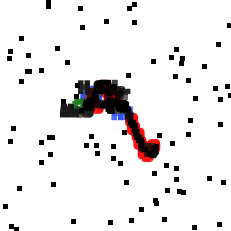 COc1ccc(C[C@H]2NC(=O)/C=C/C[C@@H]([C@H](C)[C@H]3O[C@@H]3c3ccc(CNCCOCCOCCOCCOCCC(=O)ON4C(=O)CCC4=O)cc3)OC(=O)[C@H](CC(C)C)OC(=O)C(C)(C)CNC2=O)cc1Cl